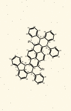 CC(C)c1c2c(c3ccc4c(C(C)C)c5c(c6ccc1c3c46)-n1c3ccccc3c3cccc(c31)B5c1ccccc1)N(c1ccccc1)c1ccccc1B2c1ccccc1